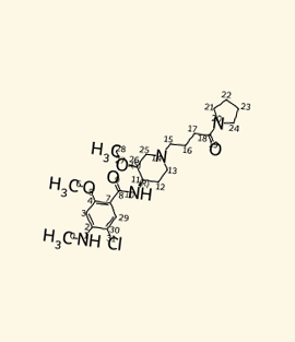 CNc1cc(OC)c(C(=O)N[C@@H]2CCN(CCCC(=O)N3CCCC3)C[C@@H]2OC)cc1Cl